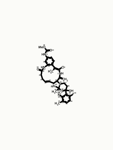 C=C1N/C(Cl)=C(\C)c2ccc(NC(=O)OC)cc2NC(=O)CC/C=C/CC1N1CCC(O)(c2c(F)ccc(C)c2P)OC1(C)CCC